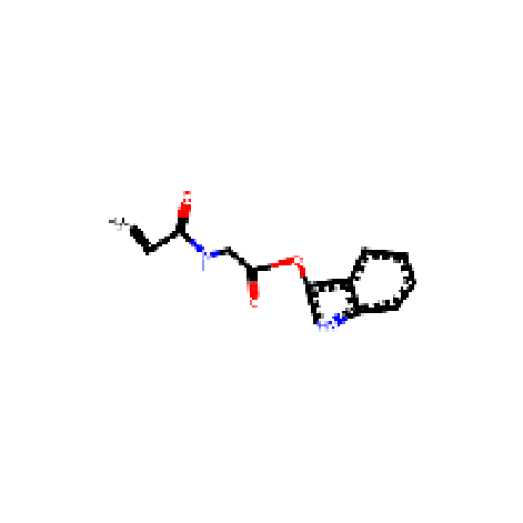 C=CC(=O)NCC(=O)Oc1c[nH]c2ccccc12